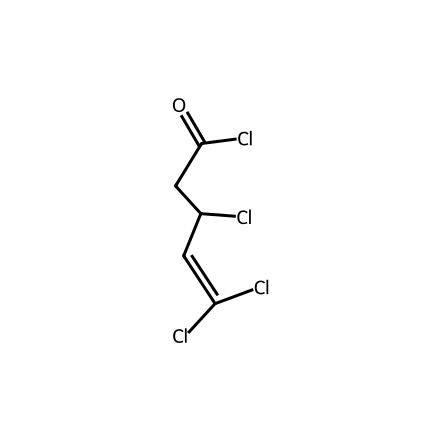 O=C(Cl)CC(Cl)C=C(Cl)Cl